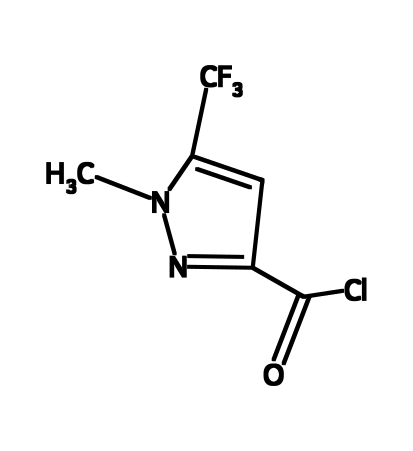 Cn1nc(C(=O)Cl)cc1C(F)(F)F